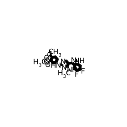 CNc1nc(Nc2ccc(OC)c(S(C)(=O)=O)c2)ncc1-c1n[nH]c2cc(F)c(F)cc12